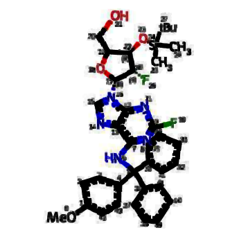 COc1ccc(C(Nc2nc(F)nc3c2ncn3[C@@H]2O[C](CO)[C@@H](O[Si](C)(C)C(C)(C)C)[C@@H]2F)(c2ccccc2)c2ccccc2)cc1